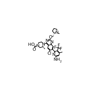 Cc1cc(N)nc(-c2cc3nc(OC[C@@H]4CCCN4C)nc(N4CCN(C(=O)O)C[C@@H]4C)c3cc2Cl)c1C(F)(F)F